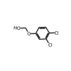 OCOc1ccc(Cl)c(Cl)c1